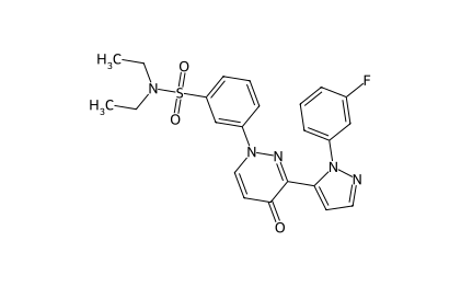 CCN(CC)S(=O)(=O)c1cccc(-n2ccc(=O)c(-c3ccnn3-c3cccc(F)c3)n2)c1